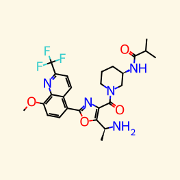 COc1ccc(-c2nc(C(=O)N3CCC[C@@H](NC(=O)C(C)C)C3)c([C@H](C)N)o2)c2ccc(C(F)(F)F)nc12